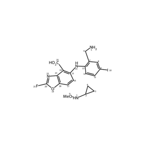 CONC1CC1.NCc1cc(I)ccc1Nc1ccc2oc(F)nc2c1C(=O)O